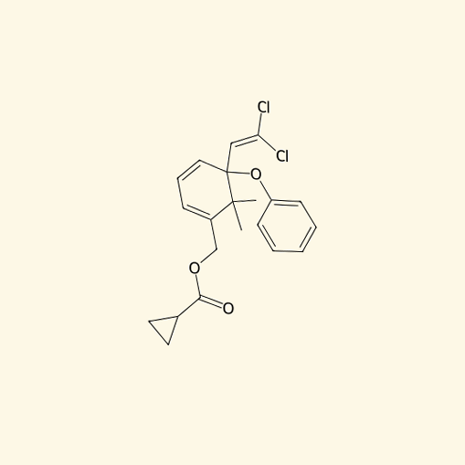 CC1(C)C(COC(=O)C2CC2)=CC=CC1(C=C(Cl)Cl)Oc1ccccc1